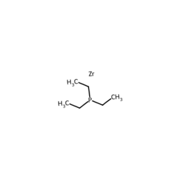 CCP(CC)CC.[Zr]